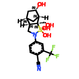 N#Cc1ccc(N2C[C@H]3[C@H]4C[C@H](O)[C@H](C4)[C@@]3(CO)S2(O)O)cc1C(F)(F)F